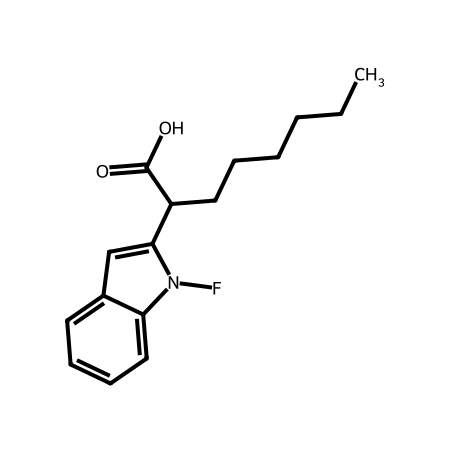 CCCCCCC(C(=O)O)c1cc2ccccc2n1F